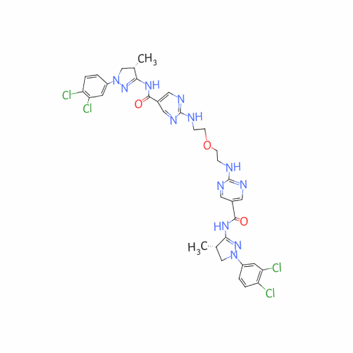 C[C@H]1CN(c2ccc(Cl)c(Cl)c2)N=C1NC(=O)c1cnc(NCCOCCNc2ncc(C(=O)NC3=NN(c4ccc(Cl)c(Cl)c4)C[C@@H]3C)cn2)nc1